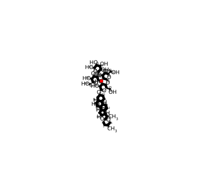 C[C@H]1CC[C@@]2(OC1)O[C@H]1C[C@@H]3C(=CC[C@H]4[C@H]3CC[C@H]3C[C@@H](O[C@@H]5O[C@H](CO)[C@H](O[C@@H]6O[C@H](CO)[C@@H](O)[C@H](O[C@@H]7O[C@H](O)[C@@H](O)[C@H](O)[C@H]7O)[C@H]6O[C@@H]6O[C@H](CO)[C@@H](O)[C@H](O)[C@H]6O)[C@H](O)[C@H]5O)CC[C@@]34C)[C@H]1[C@@H]2C